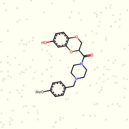 COc1ccc(CN2CCN(C(=O)C3COc4ccc(O)cc4O3)CC2)cc1